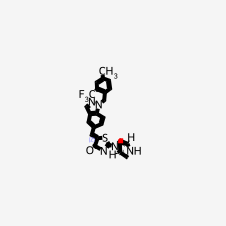 Cc1ccc(Cn2ncc3cc(/C=C4\SC(N5C[C@@H]6C[C@H]5CN6)=NC4=O)ccc32)c(C(F)(F)F)c1